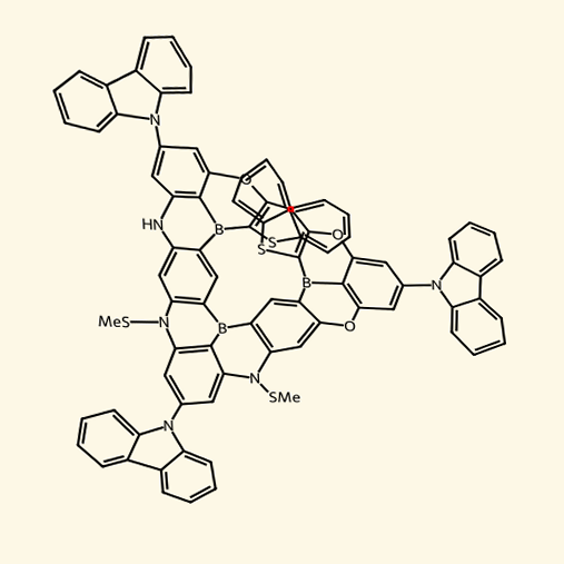 CSN1c2cc3c(cc2B2c4cc5c(cc4N(SC)c4cc(-n6c7ccccc7c7ccccc76)cc1c42)Oc1cc(-n2c4ccccc4c4ccccc42)cc2c1B5c1sc4ccccc4c1O2)B1c2sc4ccccc4c2Oc2cc(-n4c5ccccc5c5ccccc54)cc(c21)N3